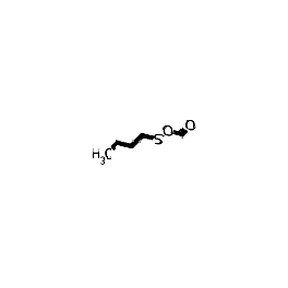 CCCCSO[C]=O